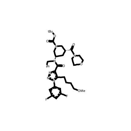 COCCCCc1c(C(=O)N(CC(C)C)[C@H]2C[C@@H](C(=O)N3CCOCC3)CN(C(=O)OC(C)(C)C)C2)nnn1-c1cc(F)cc(F)c1